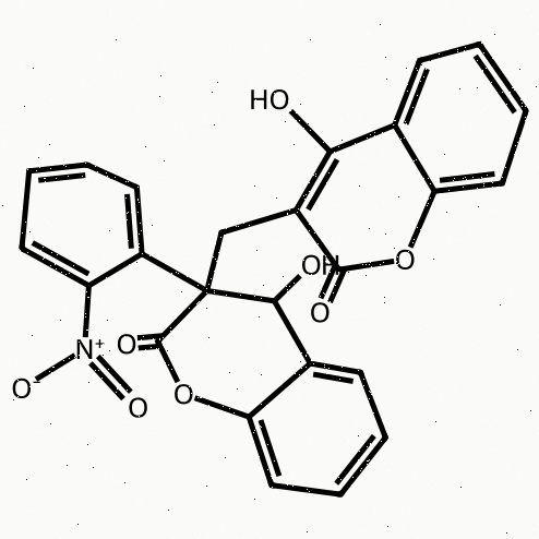 O=C1Oc2ccccc2C(O)C1(Cc1c(O)c2ccccc2oc1=O)c1ccccc1[N+](=O)[O-]